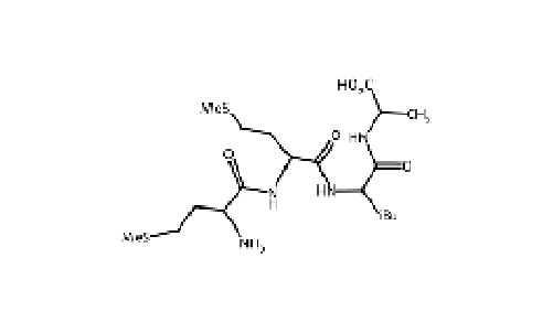 CCC(C)C(NC(=O)C(CCSC)NC(=O)C(N)CCSC)C(=O)NC(C)C(=O)O